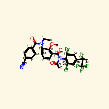 CCN(C(=O)c1ccc(C#N)cc1)c1cccc(C(=O)N(C(C)=O)c2c(Cl)cc(C(C)(F)C(F)(F)F)cc2Br)c1OC